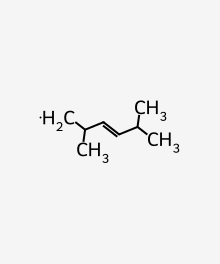 [CH2]C(C)/C=C/C(C)C